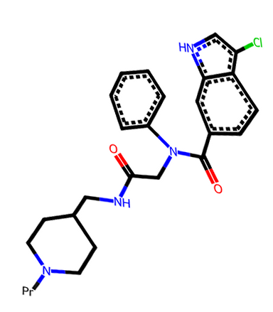 CC(C)N1CCC(CNC(=O)CN(C(=O)c2ccc3c(Cl)c[nH]c3c2)c2ccccc2)CC1